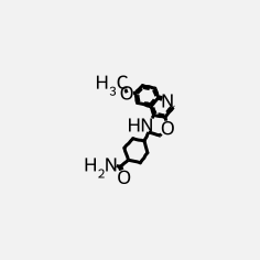 COc1ccc2ncc3c(c2c1)NC(C1CCC(C(N)=O)CC1)CO3